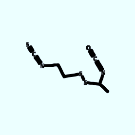 CC(N=C=O)SSCCN=C=S